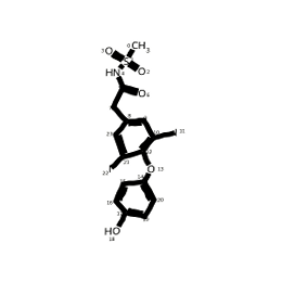 CS(=O)(=O)NC(=O)Cc1cc(I)c(Oc2ccc(O)cc2)c(I)c1